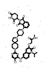 CNC(=O)COc1cc2cc(Nc3nc(N4CCC5(CC4)CCN(C4CCN(c6cccc7c6C(=O)N(C6CCC(=O)NC6=O)C7=O)CC4)C5)ncc3Cl)ccc2n(C(C)C)c1=O